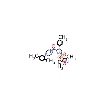 Cc1ccc([C@@H]2CN(S(=O)(=O)c3c(C)noc3C)C[C@H]2C(=O)N2CCN(c3cc(C)ccc3C)CC2)cc1